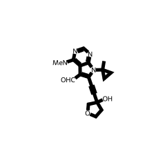 CNc1ncnc2c1c(C=O)c(C#CC1(O)CCOC1)n2C1(C)CC1